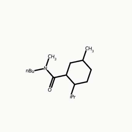 CCCCN(C)C(=O)C1CC(C)CCC1C(C)C